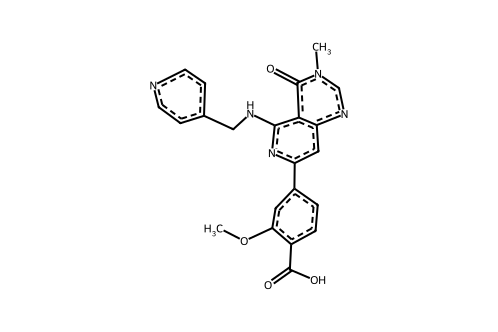 COc1cc(-c2cc3ncn(C)c(=O)c3c(NCc3ccncc3)n2)ccc1C(=O)O